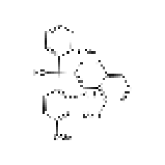 COc1ccc(C(O)(c2ccccc2)c2cc3c(OC)cccc3cc2OC)c(O)c1